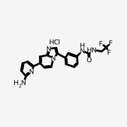 Cl.Nc1cccc(-c2ccn3c(-c4cccc(NC(=O)NCC(F)(F)F)c4)cnc3c2)n1